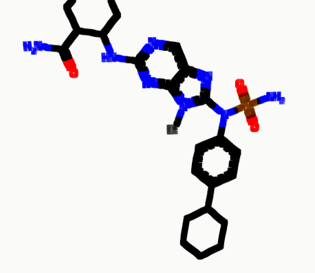 CCn1c(N(c2ccc(C3CCCCC3)cc2)S(N)(=O)=O)nc2cnc(NC3CCCCC3C(N)=O)nc21